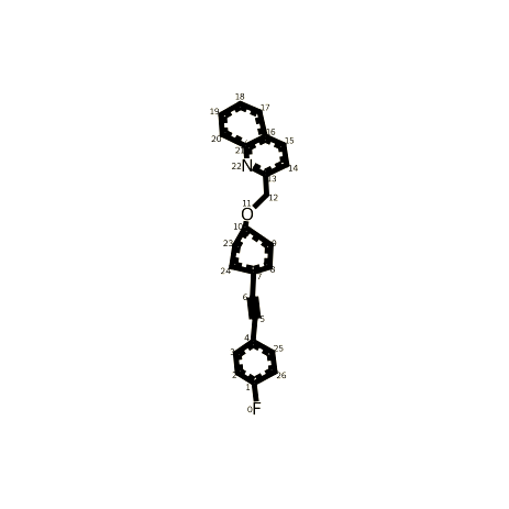 Fc1ccc(C#Cc2ccc(OCc3ccc4ccccc4n3)cc2)cc1